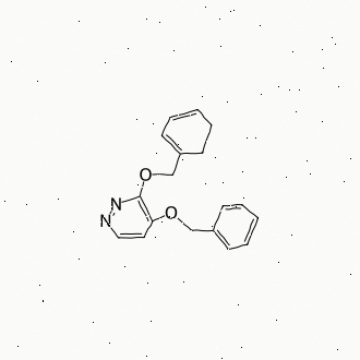 C1=CCCC(COc2nnccc2OCc2ccccc2)=C1